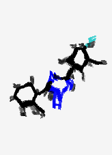 Cc1cc(-c2n[nH]c(C3CCCCC3C)n2)ccc1F